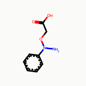 NN(OCC(=O)O)c1ccccc1